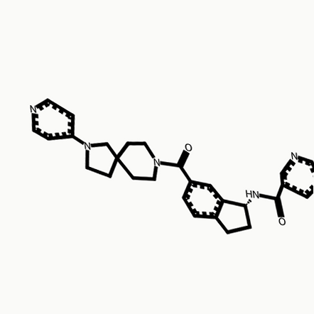 O=C(N[C@@H]1CCc2ccc(C(=O)N3CCC4(CC3)CCN(c3ccncc3)C4)cc21)c1cncnc1